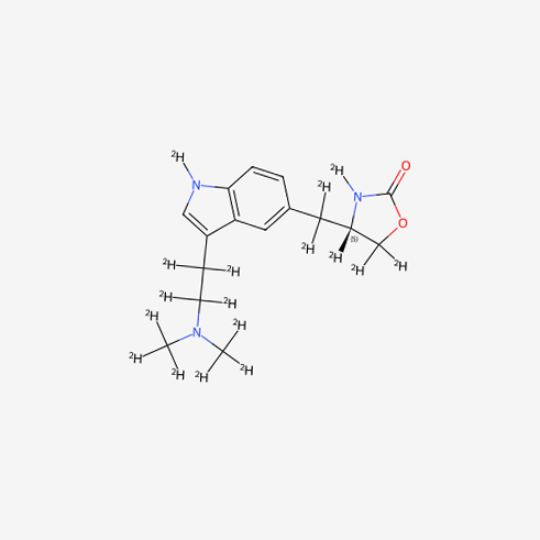 [2H]N1C(=O)OC([2H])([2H])[C@]1([2H])C([2H])([2H])c1ccc2c(c1)c(C([2H])([2H])C([2H])([2H])N(C([2H])([2H])[2H])C([2H])([2H])[2H])cn2[2H]